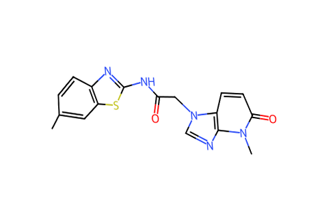 Cc1ccc2nc(NC(=O)Cn3cnc4c3ccc(=O)n4C)sc2c1